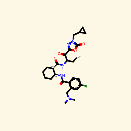 CC(C)CC(NC(=O)[C@@H]1CCCC[C@@H]1NC(=O)c1ccc(F)cc1CN(C)C)C(=O)c1nn(CC2CC2)c(=O)o1